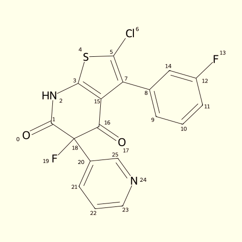 O=C1Nc2sc(Cl)c(-c3cccc(F)c3)c2C(=O)C1(F)c1cccnc1